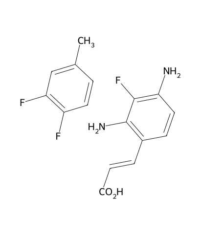 Cc1ccc(F)c(F)c1.Nc1ccc(C=CC(=O)O)c(N)c1F